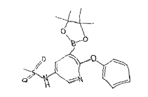 CC1(C)OB(c2cc(NS(C)(=O)=O)cnc2Oc2ccccc2)OC1(C)C